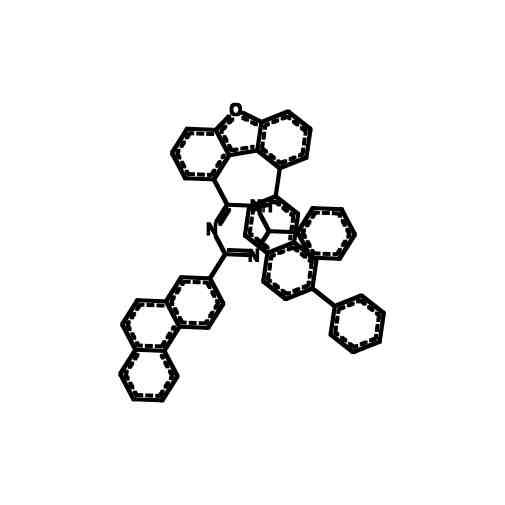 c1ccc(-c2ccc3ccc(-c4cccc5oc6cccc(C7=NC(c8ccc9c(ccc%10ccccc%109)c8)=NC(c8ccccc8)N7)c6c45)cc3c2)cc1